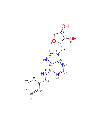 O[C@@H]1[C@H](O)CO[C@H]1Cn1cnc2c(NCc3cccc(I)c3)ncnc21